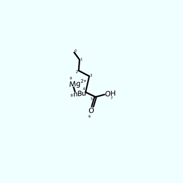 CCCCCC(=O)O.CCC[CH2][Mg+2]